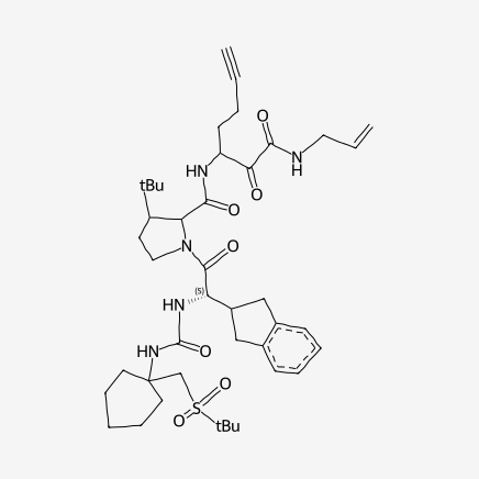 C#CCCC(NC(=O)C1C(C(C)(C)C)CCN1C(=O)[C@@H](NC(=O)NC1(CS(=O)(=O)C(C)(C)C)CCCCC1)C1Cc2ccccc2C1)C(=O)C(=O)NCC=C